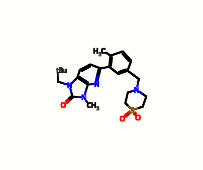 Cc1ccc(CN2CCS(=O)(=O)CC2)cc1-c1ccc2c(n1)n(C)c(=O)n2CC(C)(C)C